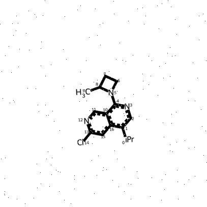 CC(C)c1cnc(N2CCC2C)c2cnc(Cl)cc12